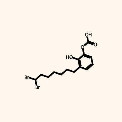 O=C(O)Oc1cccc(CCCCCCC(Br)Br)c1O